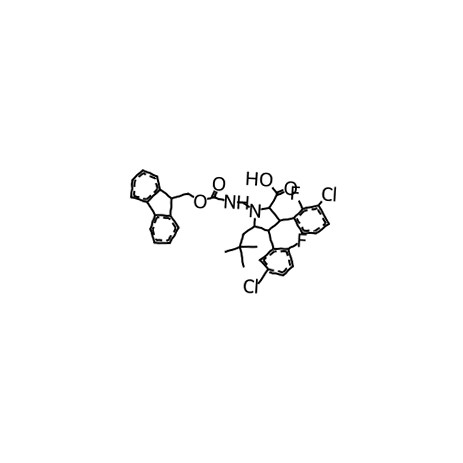 CC(C)(C)CC1C(c2cc(Cl)ccc2F)C(c2cccc(Cl)c2F)C(C(=O)O)N1CNC(=O)OCC1c2ccccc2-c2ccccc21